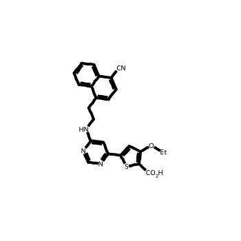 CCOc1cc(-c2cc(NCCc3ccc(C#N)c4ccccc34)ncn2)sc1C(=O)O